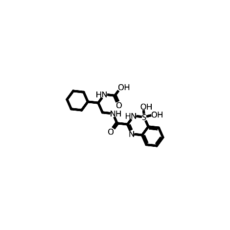 O=C(O)NC(CNC(=O)C1=Nc2ccccc2S(O)(O)N1)C1CCCCC1